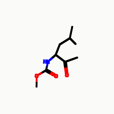 COC(=O)NC(CC(C)C)C(C)=O